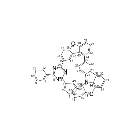 c1ccc(-c2nc(-c3ccccc3)nc(-c3ccc4oc5cccc(-c6ccc7c(c6)c6cccc8c6n7-c6ccccc6O8)c5c4c3)n2)cc1